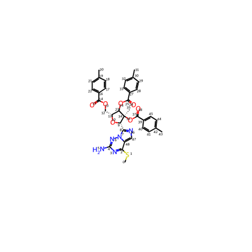 CSc1nc(N)nn2c([C@@H]3O[C@H](COC(=O)c4ccc(C)cc4)C(OC(=O)c4ccc(C)cc4)[C@@]3(C)OC(=O)c3ccc(C)cc3)ncc12